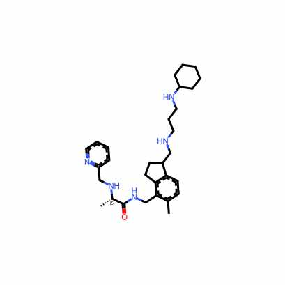 Cc1ccc2c(c1CNC(=O)[C@H](C)NCc1ccccn1)CCC2CNCCCNC1CCCCC1